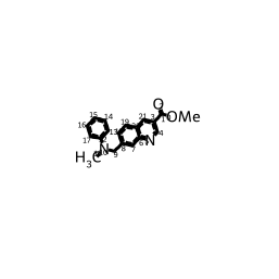 COC(=O)c1cnc2cc(CN(C)c3ccccc3)ccc2c1